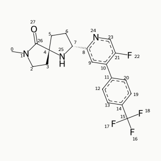 CN1CC[C@]2(CC[C@H](c3cc(-c4ccc(C(F)(F)F)cc4)c(F)cn3)N2)C1=O